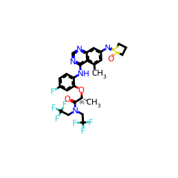 Cc1cc(N=S2(=O)CCC2)cc2ncnc(Nc3ccc(F)cc3O[C@H](C)C(=O)N(CC(F)(F)F)CC(F)(F)F)c12